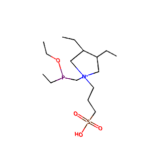 CCOP(CC)C[N+]1(CCCS(=O)(=O)O)CC(CC)C(CC)C1